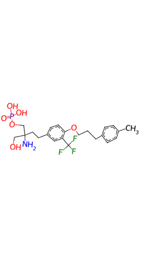 Cc1ccc(CCCOc2ccc(CCC(N)(CO)COP(=O)(O)O)cc2C(F)(F)F)cc1